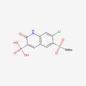 CNS(=O)(=O)c1cc2cc(P(=O)(O)O)c(=O)[nH]c2cc1Cl